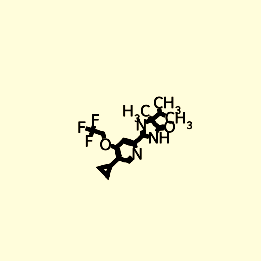 CC(C)C1(C)N=C(c2cc(OCC(F)(F)F)c(C3CC3)cn2)NC1=O